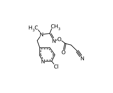 CC(=NOC(=O)CC#N)N(C)Cc1ccc(Cl)nc1